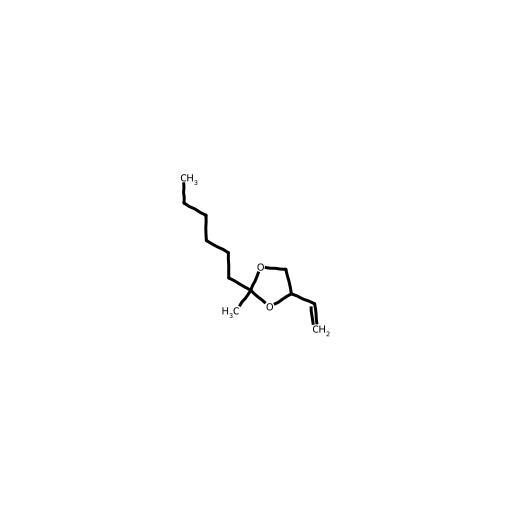 C=CC1COC(C)(CCCCCC)O1